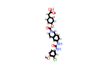 COc1ccc(NC(=O)Nc2ccc3c(c2)CCN(C(=O)OC2CCC(CC(=O)O)CC2)C3)cc1Cl